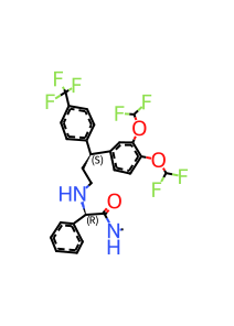 CNC(=O)[C@H](NCC[C@@H](c1ccc(C(F)(F)F)cc1)c1ccc(OC(F)F)c(OC(F)F)c1)c1ccccc1